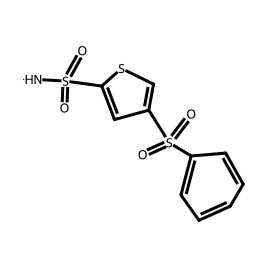 [NH]S(=O)(=O)c1cc(S(=O)(=O)c2ccccc2)cs1